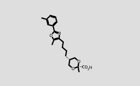 Cc1cccc(-c2nc(CCCC[C@H]3CO[C@@](C)(C(=O)O)OC3)c(C)o2)c1